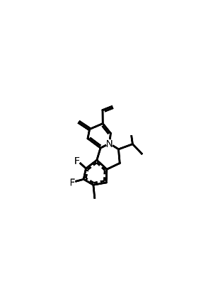 C=CC1=CN2C(=CC1=C)c1c(cc(C)c(F)c1F)CC2C(C)C